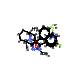 Cn1nc2c(c1-c1cc(F)cc(F)c1)C[C@@H]1CCC[C@H]2N1C(=O)c1ccc(F)c2ncccc12